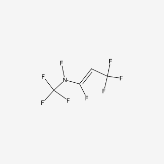 F/C(=C\C(F)(F)F)N(F)C(F)(F)F